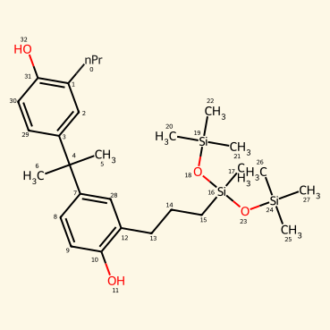 CCCc1cc(C(C)(C)c2ccc(O)c(CCC[Si](C)(O[Si](C)(C)C)O[Si](C)(C)C)c2)ccc1O